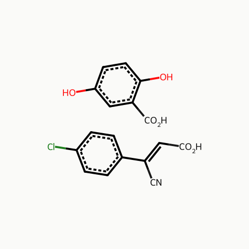 N#CC(=CC(=O)O)c1ccc(Cl)cc1.O=C(O)c1cc(O)ccc1O